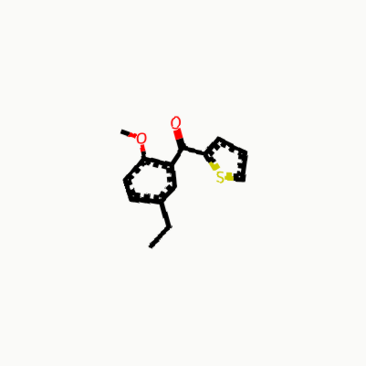 CCc1ccc(OC)c(C(=O)c2cccs2)c1